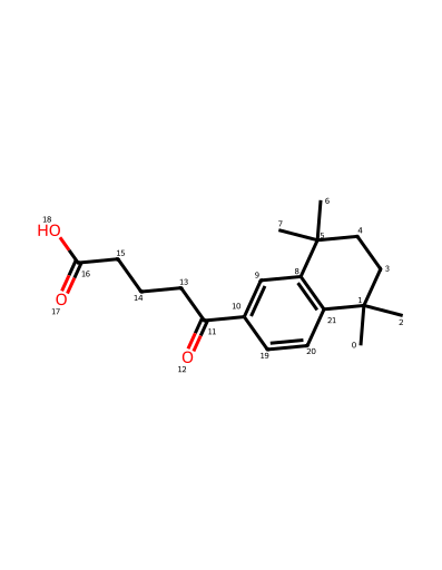 CC1(C)CCC(C)(C)c2cc(C(=O)CCCC(=O)O)ccc21